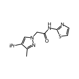 Cc1nn(CC(=O)Nc2nccs2)cc1C(C)C